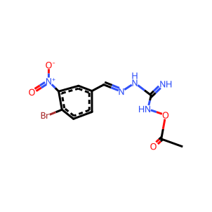 CC(=O)ONC(=N)NN=Cc1ccc(Br)c([N+](=O)[O-])c1